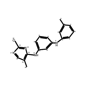 Cc1cccc(Nc2cccc(Nc3nc(Cl)ncc3C)c2)c1